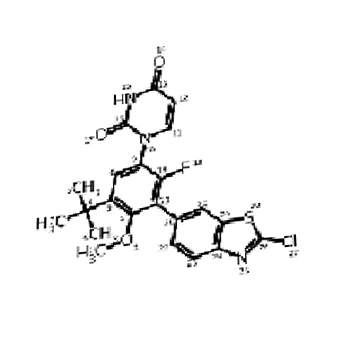 COc1c(C(C)(C)C)cc(-n2ccc(=O)[nH]c2=O)c(F)c1-c1ccc2nc(Cl)sc2c1